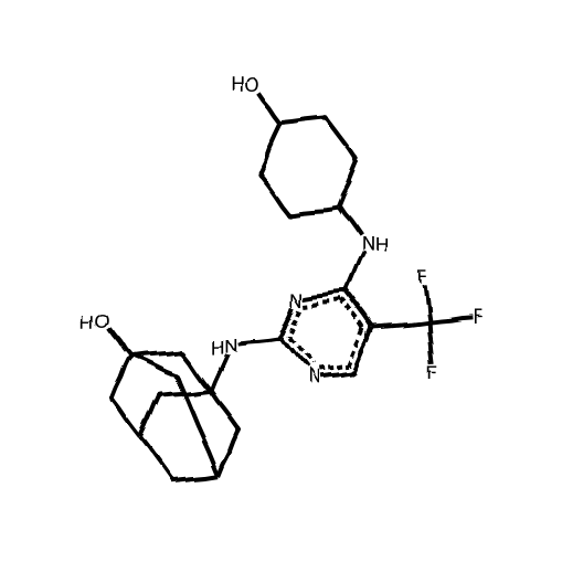 OC1CCC(Nc2nc(NC34CC5CC(CC(O)(C5)C3)C4)ncc2C(F)(F)F)CC1